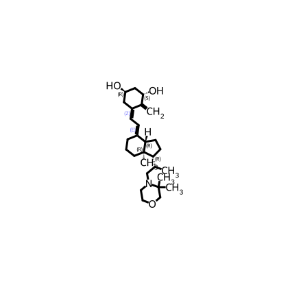 C=C1/C(=C\C=C2/CCC[C@]3(C)[C@@H](C(C)CN4CCOCC4(C)C)CC[C@@H]23)C[C@@H](O)C[C@@H]1O